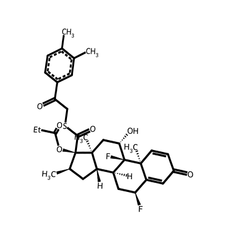 CCC(=O)O[C@]1(C(=O)SCC(=O)c2ccc(C)c(C)c2)[C@H](C)C[C@H]2[C@@H]3C[C@H](F)C4=CC(=O)C=C[C@]4(C)[C@@]3(F)[C@@H](O)C[C@@]21C